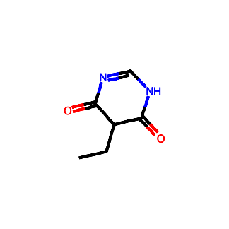 CCC1C(=O)N=CNC1=O